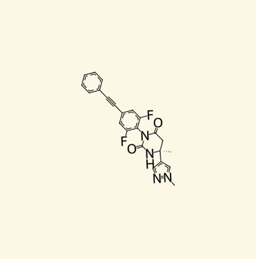 Cn1cc([C@]2(C)CC(=O)N(c3c(F)cc(C#Cc4ccccc4)cc3F)C(=O)N2)cn1